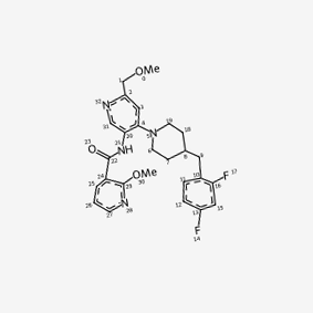 COCc1cc(N2CCC(Cc3ccc(F)cc3F)CC2)c(NC(=O)c2cccnc2OC)cn1